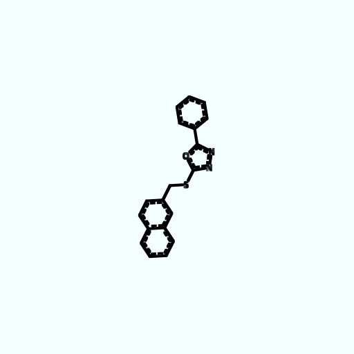 c1ccc(-c2nnc(SCc3ccc4ccccc4c3)o2)cc1